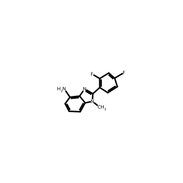 Cn1c(-c2ccc(F)cc2F)nc2c(N)cccc21